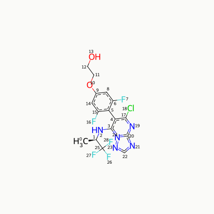 C[C@@H](Nc1c(-c2c(F)cc(OCCO)cc2F)c(Cl)nc2ncnn12)C(F)(F)F